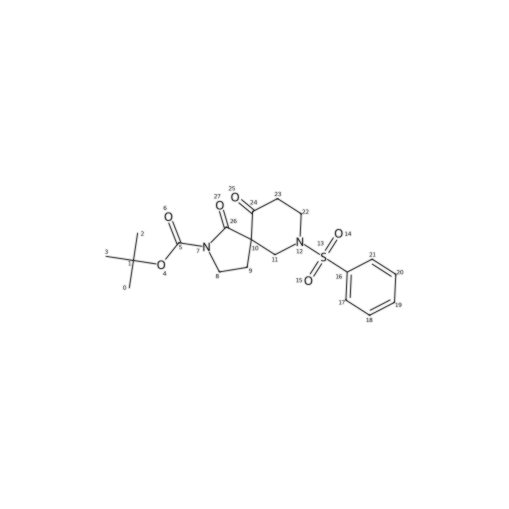 CC(C)(C)OC(=O)N1CCC2(CN(S(=O)(=O)c3ccccc3)CCC2=O)C1=O